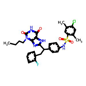 CCCCn1c(=O)[nH]c(=O)c2[nH]c(C(Cc3ccccc3F)c3ccc(NS(=O)(=O)c4cc(C)c(Cl)cc4C)cc3)nc21